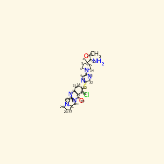 C[C@@H]1OCC2(CCN(c3cnc(Sc4ccc5ncn(CC6CCCN6C)c(=O)c5c4Cl)cn3)CC2)[C@@H]1N